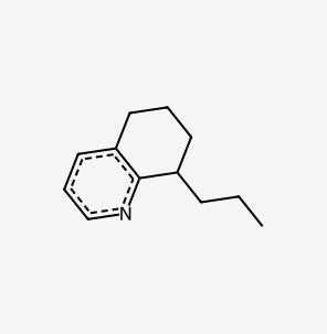 CCCC1CCCc2cccnc21